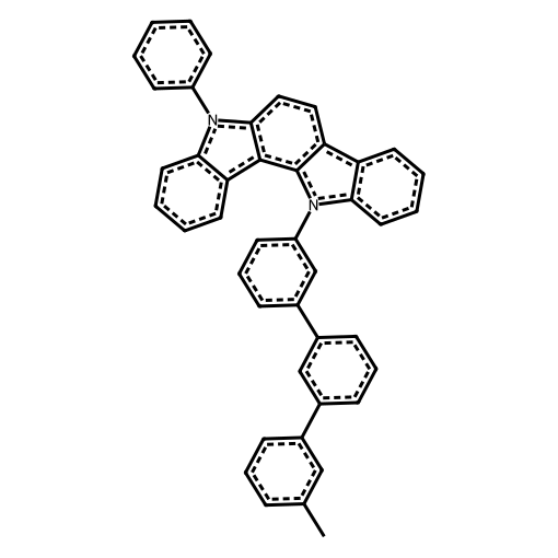 Cc1cccc(-c2cccc(-c3cccc(-n4c5ccccc5c5ccc6c(c7ccccc7n6-c6ccccc6)c54)c3)c2)c1